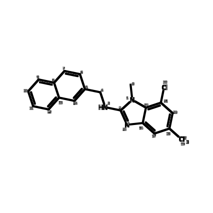 Cn1c(NCc2ccc3ccccc3c2)nc2cc(C(F)(F)F)cc(Cl)c21